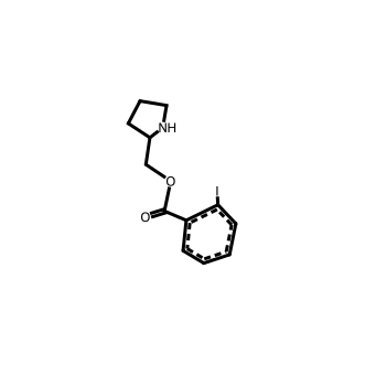 O=C(OCC1CCCN1)c1ccccc1I